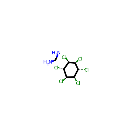 Cl[C@H]1[C@H](Cl)[C@@H](Cl)[C@@H](Cl)[C@H](Cl)[C@H]1Cl.NCN